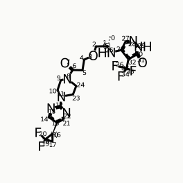 C[C@@H](COCCC(=O)N1CCN(c2ncc([C@H]3CC3(F)F)cn2)CC1)Nc1cn[nH]c(=O)c1C(F)(F)F